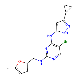 CC1=CCC(CNc2ncc(Br)c(Nc3cc(C4CC4)n[nH]3)n2)O1